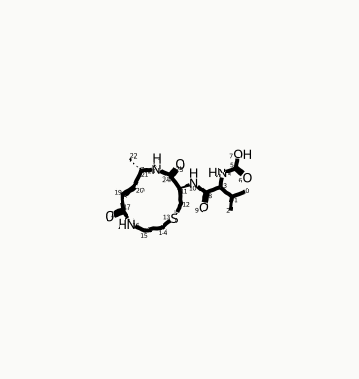 CC(C)C(NC(=O)O)C(=O)N[C@H]1CSCCNC(=O)/C=C/[C@H](C)NC1=O